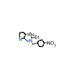 CCCCC(CC)N(Cc1ccc([N+](=O)[O-])cc1)Cc1ccccn1